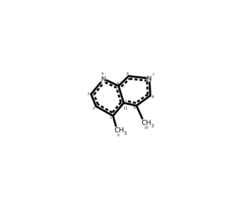 Cc1ccnc2cncc(C)c12